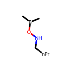 CCCCNOB(C)C